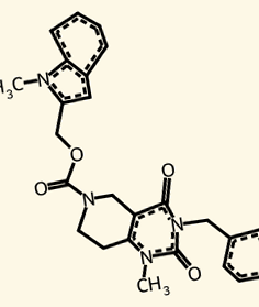 Cn1c2c(c(=O)n(Cc3ccccc3)c1=O)CN(C(=O)OCc1cc3ccccc3n1C)CC2